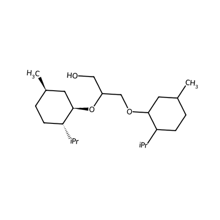 CC1CCC(C(C)C)C(OCC(CO)O[C@@H]2C[C@H](C)CC[C@H]2C(C)C)C1